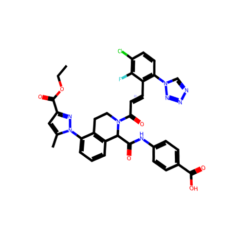 CCOC(=O)c1cc(C)n(-c2cccc3c2CCN(C(=O)/C=C/c2c(-n4cnnn4)ccc(Cl)c2F)C3C(=O)Nc2ccc(C(=O)O)cc2)n1